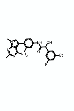 CCc1cc(F)cc(C(O)C(=O)Nc2ccc(-c3cn(C)c4nc(C)nc(N)c34)c(C)c2)c1